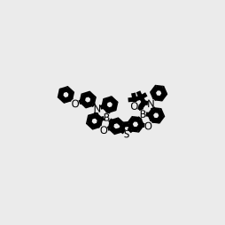 CC1(C)OC2=C(N(c3ccccc3)c3cccc4c3B2c2cc3c(cc2O4)sc2cc4c(cc23)B2c3ccccc3N(c3cccc(Oc5ccccc5)c3)c3cccc(c32)O4)C1(C)C